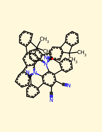 CC1(C)c2ccccc2-c2cc3c4ccccc4n(-c4c(-c5ccccc5C#N)c(C#N)c(C#N)c(-c5ccccc5C#N)c4-n4c5ccccc5c5cc6c(cc54)C(C)(C)c4ccccc4-6)c3cc21